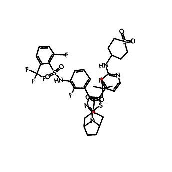 CC(C)(C)OC(=O)N1CC2CCC(C1)N2c1nc(-c2cccc(NS(=O)(=O)c3c(F)cccc3C(F)(F)F)c2F)c(-c2ccnc(NC3CCS(=O)(=O)CC3)n2)s1